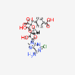 Nc1nc(Cl)nc2c1ncn2[C@@H]1O[C@@H]2C(OC(Cc3ccc(C(=O)O)cc3)(C(=O)O)C(=O)O)C2[C@H]1O